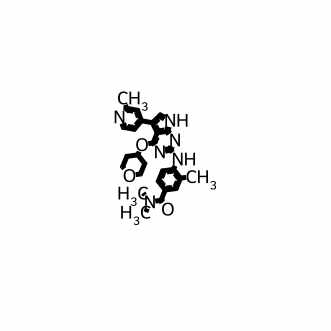 Cc1cc(-c2c[nH]c3nc(Nc4ccc(C(=O)N(C)C)cc4C)nc(OC4CCOCC4)c23)ccn1